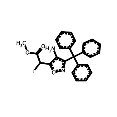 COC(=O)C(I)c1onc(C(c2ccccc2)(c2ccccc2)c2ccccc2)c1N